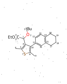 CCOC(=O)C(OC(C)(C)C)c1c(C)sc(C)c1-c1ccc2c(c1)CCCC2